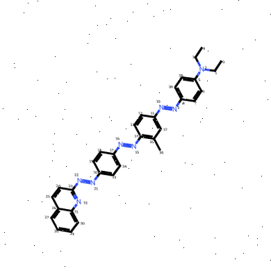 CCN(CC)c1ccc(N=Nc2ccc(N=Nc3ccc(N=Nc4ccc5ccccc5n4)cc3)c(C)c2)cc1